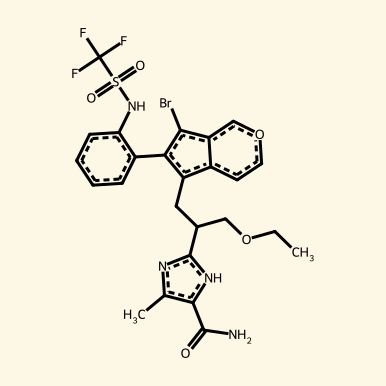 CCOCC(Cc1c2ccocc-2c(Br)c1-c1ccccc1NS(=O)(=O)C(F)(F)F)c1nc(C)c(C(N)=O)[nH]1